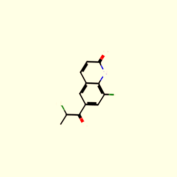 CC(Cl)C(=O)c1cc(Cl)c2[nH]c(=O)ccc2c1